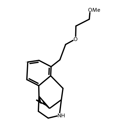 COCCOCCc1c[c]cc2c1CC1NCCC23CCCCC13